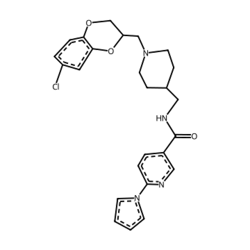 O=C(NCC1CCN(CC2COc3ccc(Cl)cc3O2)CC1)c1ccc(-n2cccc2)nc1